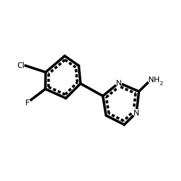 Nc1nccc(-c2ccc(Cl)c(F)c2)n1